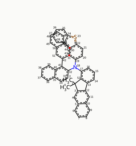 CC1(C)c2cc3ccccc3cc2-c2cccc(N(c3ccc4sc5ccccc5c4c3)c3ccc4ccccc4c3-c3ccc4ccccc4c3)c21